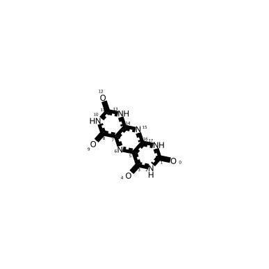 O=c1[nH]c(=O)c2nc3c(=O)[nH]c(=O)[nH]c3nc2[nH]1